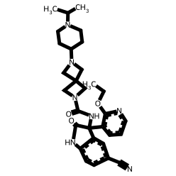 CCOc1ncccc1C1(NC(=O)N2CC3(C2)CN(C2CCN(C(C)C)CC2)C3)C(=O)Nc2ccc(C#N)cc21